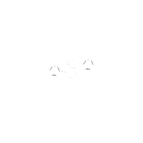 O=CN(OCc1ccccc1)[C@@H](Cc1ccccc1)C1OCCO1